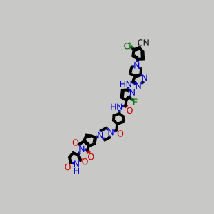 N#Cc1ccc(N2CCc3c(ncnc3Nc3ccc(C(=O)NC4CCC(C(=O)N5CCN(c6ccc7c(c6)C(=O)N(C6CCC(=O)NC6=O)C7=O)CC5)CC4)c(F)n3)C2)cc1Cl